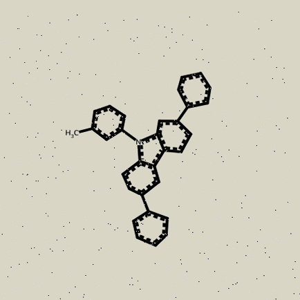 Cc1cccc(-n2c3ccc(-c4ccccc4)cc3c3ccc(-c4ccccc4)cc32)c1